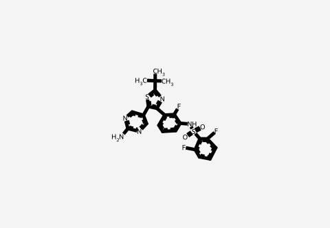 CC(C)(C)c1nc(-c2cccc(NS(=O)(=O)c3c(F)cccc3F)c2F)c(-c2cnc(N)nc2)s1